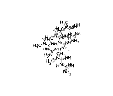 CN(C)C(=N)NC(=N)N.CN(C)C(=N)NC(=N)N.CN(C)C(=N)NC(=N)N.CN(C)C(=N)NC(=N)N.Cl